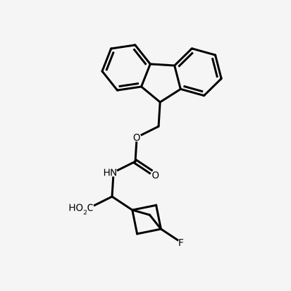 O=C(NC(C(=O)O)C12CC(F)(C1)C2)OCC1c2ccccc2-c2ccccc21